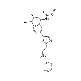 CC(=O)N1c2ccc(-c3cnn(CCN(C)Cc4ccccc4)c3)cc2[C@H](NC(=O)OC(C)C)C[C@@H]1C